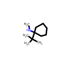 CNC1(C(C)(C)C)CCCCC1